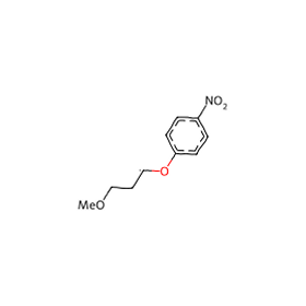 COCC[CH]Oc1ccc([N+](=O)[O-])cc1